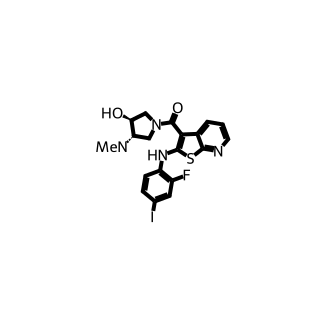 CN[C@H]1CN(C(=O)c2c(Nc3ccc(I)cc3F)sc3ncccc23)C[C@@H]1O